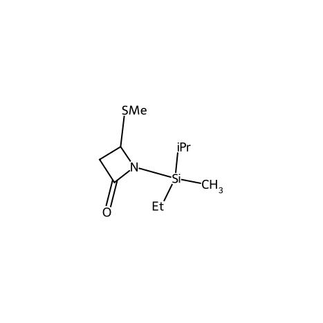 CC[Si](C)(C(C)C)N1C(=O)CC1SC